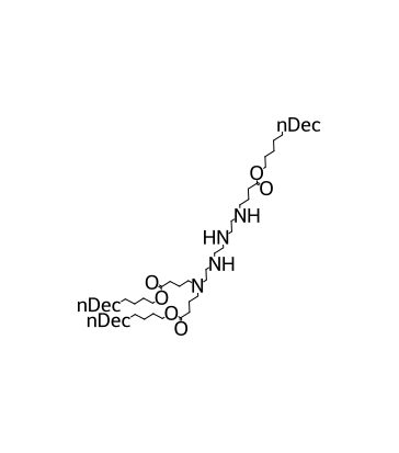 CCCCCCCCCCCCCCCOC(=O)CCCNCCNCCNCCN(CCCC(=O)OCCCCCCCCCCCCCC)CCCC(=O)OCCCCCCCCCCCCCC